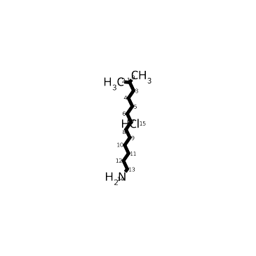 CC(C)CCCCCCCCCCCN.Cl